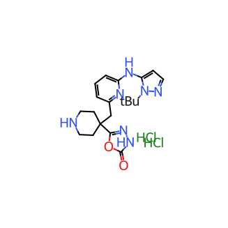 CC(C)(C)n1nccc1Nc1cccc(CC2(c3n[nH]c(=O)o3)CCNCC2)n1.Cl.Cl